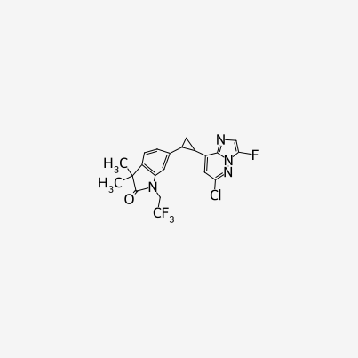 CC1(C)C(=O)N(CC(F)(F)F)c2cc(C3CC3c3cc(Cl)nn4c(F)cnc34)ccc21